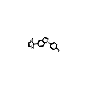 Cn1ccnc1-c1ccc2c(ccn2-c2ccc(F)cc2)c1